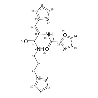 O=C(NCCCn1cccc1)/C(=C/c1cccs1)NC(=O)c1ccco1